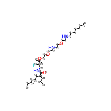 CCCCCCCCNCCOCCNCCOCCOC(C)(C)C(F)CNC(=O)C(CCC)CCCCCC